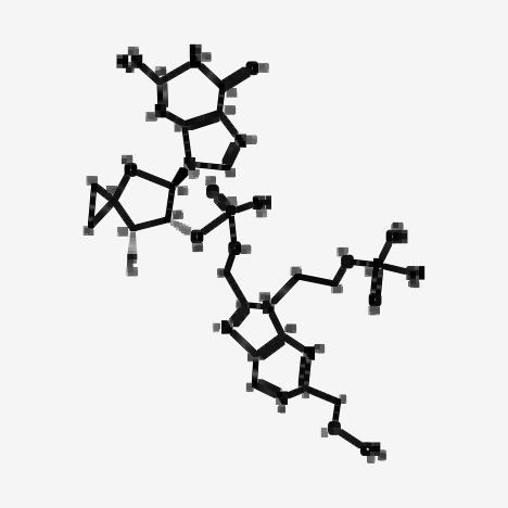 COCc1ncc2nc(COP(=O)(S)O[C@H]3[C@H](n4cnc5c(=O)[nH]c(N)nc54)OC4(CC4)[C@H]3F)n(CCOP(=O)(O)S)c2n1